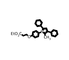 CCOC(=O)CCOc1ccc(-n2c(-c3ccccc3)cc(-c3ccccc3)c2C)cc1